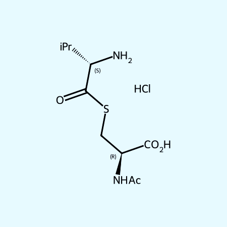 CC(=O)N[C@@H](CSC(=O)[C@@H](N)C(C)C)C(=O)O.Cl